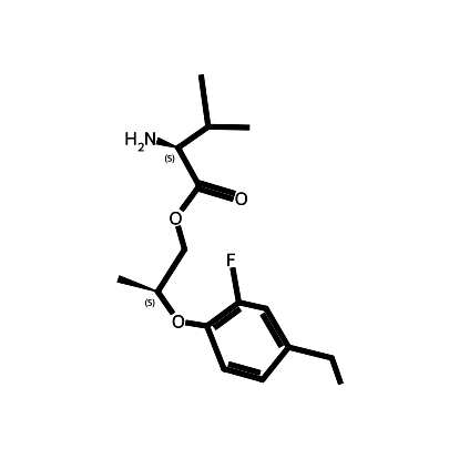 CCc1ccc(O[C@@H](C)COC(=O)[C@@H](N)C(C)C)c(F)c1